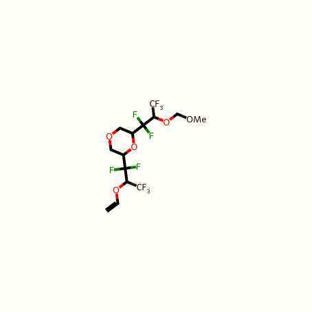 C=COC(C(F)(F)F)C(F)(F)C1COCC(C(F)(F)C(OCOC)C(F)(F)F)O1